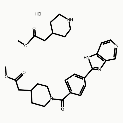 COC(=O)CC1CCN(C(=O)c2ccc(-c3nc4cnccc4[nH]3)cc2)CC1.COC(=O)CC1CCNCC1.Cl